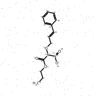 CCCOC(=O)N(OCC=Cc1ccccc1)[N+](=O)[O-]